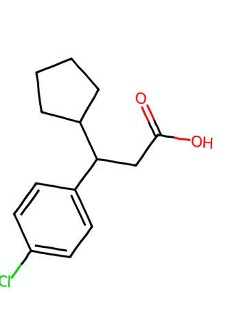 O=C(O)CC(c1ccc(Cl)cc1)C1CCCC1